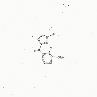 COc1cccc(C(=O)c2ccc(Br)s2)c1Cl